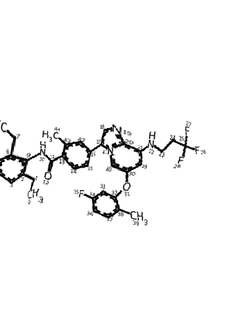 CCc1cccc(CC)c1NC(=O)c1ccc(-c2cnc3c(NCCC(F)(F)F)cc(Oc4cc(F)ccc4C)cn23)cc1C